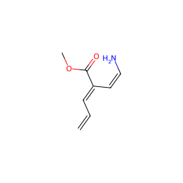 C=C/C=C(\C=C/N)C(=O)OC